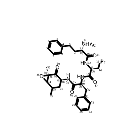 CC(=O)N[C@@H](CCc1ccccc1)C(=O)N[C@@H](CC(C)C)C(=O)N[C@@H](Cc1ccccc1)C(=O)N[C@H]1CC(C)C2O[C@@]2(C)C1=O